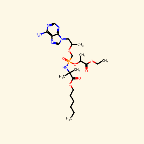 CCCCCCOC(=O)C(C)(C)NP(=O)(COC(C)Cn1cnc2c(N)ncnc21)OC(C)C(=O)OCC